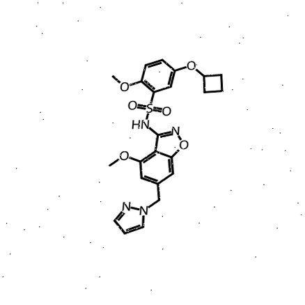 COc1ccc(OC2CCC2)cc1S(=O)(=O)Nc1noc2cc(Cn3cccn3)cc(OC)c12